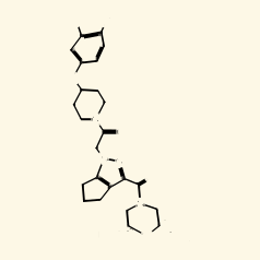 C[C@@H]1CN(C(=O)c2nn(CC(=O)N3CCC(Oc4ccc(Cl)c(F)c4)CC3)c3c2CCC3)C[C@H](C)O1